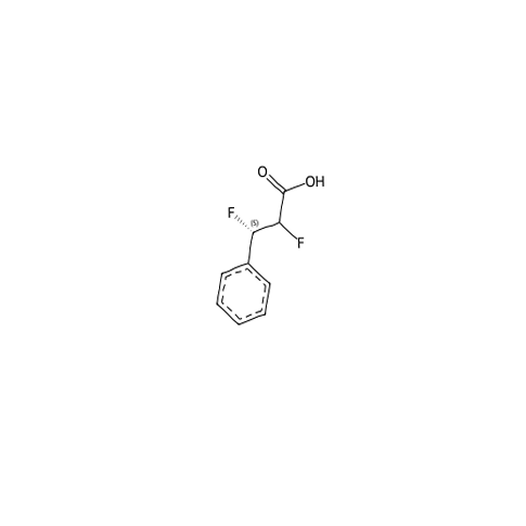 O=C(O)C(F)[C@@H](F)c1ccccc1